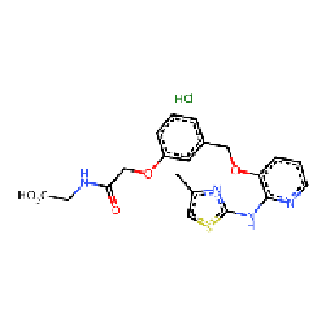 Cc1csc(Nc2ncccc2OCc2cccc(OCC(=O)NCC(=O)O)c2)n1.Cl